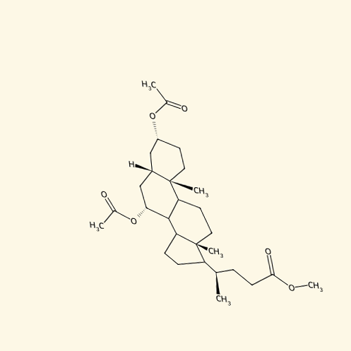 COC(=O)CC[C@@H](C)C1CCC2C3C(CC[C@@]21C)[C@@]1(C)CC[C@@H](OC(C)=O)C[C@H]1C[C@H]3OC(C)=O